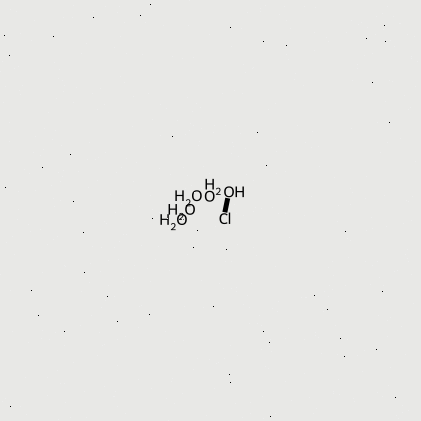 O.O.O.O.OCl